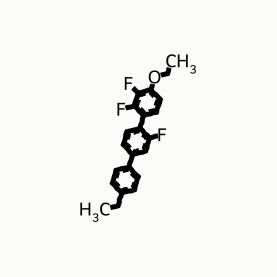 CCOc1ccc(-c2ccc(-c3ccc(CC)cc3)cc2F)c(F)c1F